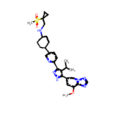 COc1cc(-c2[nH]nc(-c3ccc(C4CCC(NCC5(S(C)(=O)=O)CC5)CC4)cn3)c2C(C)C)cn2ncnc12